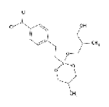 CC(CO)CO[Si]1(CCc2ccc(C(Cl)Cl)cc2)OCC(C)CO1